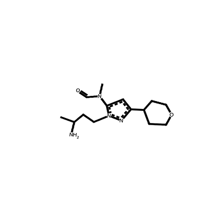 CC(N)CCn1nc(C2CCOCC2)cc1N(C)C=O